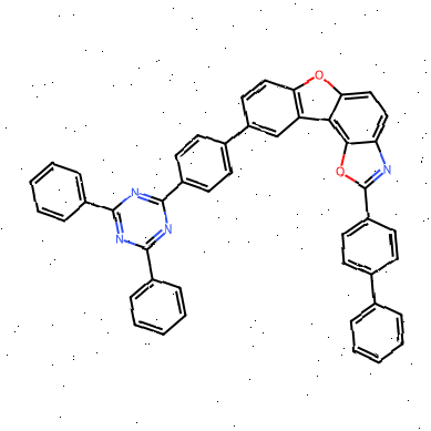 c1ccc(-c2ccc(-c3nc4ccc5oc6ccc(-c7ccc(-c8nc(-c9ccccc9)nc(-c9ccccc9)n8)cc7)cc6c5c4o3)cc2)cc1